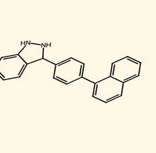 c1ccc2c(c1)NNC2c1ccc(-c2cccc3ccccc23)cc1